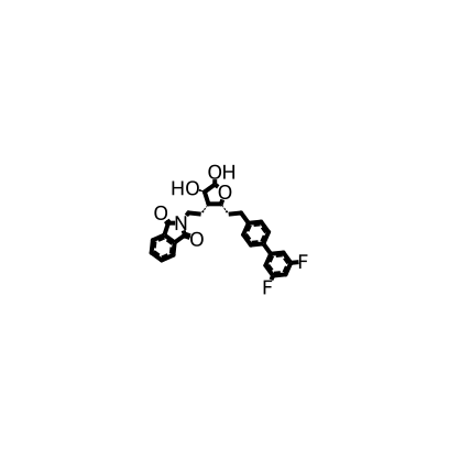 O=C1c2ccccc2C(=O)N1CC[C@@H]1[C@H](O)C(O)O[C@@H]1CCc1ccc(-c2cc(F)cc(F)c2)cc1